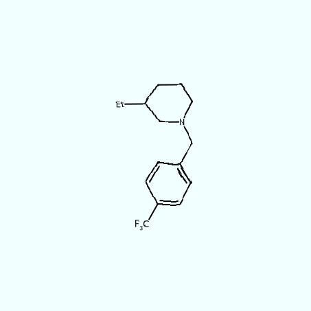 CCC1CCCN(Cc2ccc(C(F)(F)F)cc2)C1